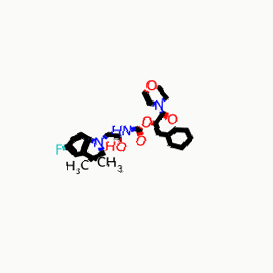 CC1(C)CN(C[C@H](O)NC(=O)OC(CC2CCCCC2)C(=O)N2CCOCC2)c2ccc(F)cc21